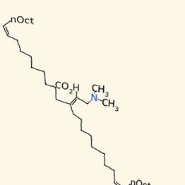 CCCCCCCC/C=C\CCCCCCCCC(CCCCCCCC/C=C\CCCCCCCC)=C(CN(C)C)C(=O)O